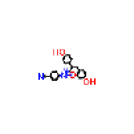 N#Cc1ccc(NN=C2Oc3cc(O)ccc3CC2c2ccc(O)cc2)cc1